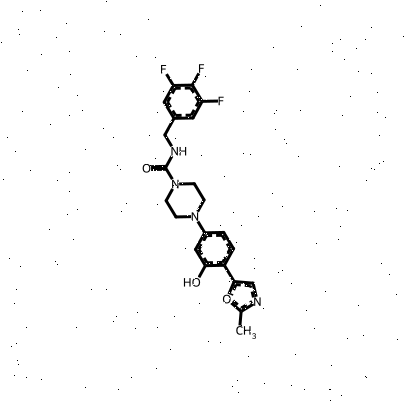 Cc1ncc(-c2ccc(N3CCN(C(=O)NCc4cc(F)c(F)c(F)c4)CC3)cc2O)o1